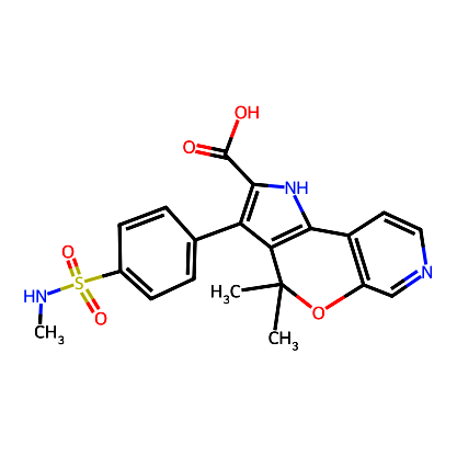 CNS(=O)(=O)c1ccc(-c2c(C(=O)O)[nH]c3c2C(C)(C)Oc2cnccc2-3)cc1